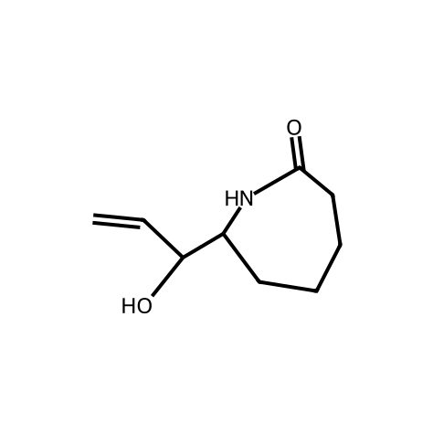 C=CC(O)C1CCCCC(=O)N1